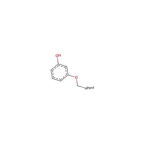 CCCCCCOc1cc[c]c(O)c1